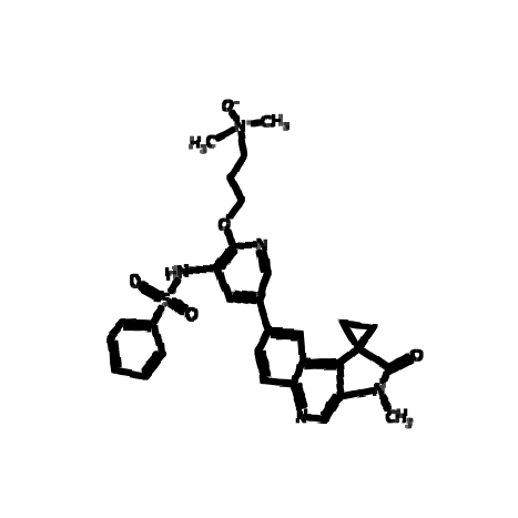 CN1C(=O)C2(CC2)c2c1cnc1ccc(-c3cnc(OCCC[N+](C)(C)[O-])c(NS(=O)(=O)c4ccccc4)c3)cc21